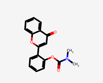 CN(C)C(=O)Oc1ccccc1-c1cc(=O)c2ccccc2o1